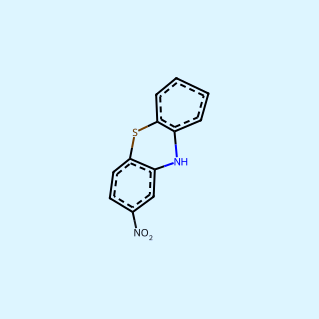 O=[N+]([O-])c1ccc2c(c1)Nc1ccccc1S2